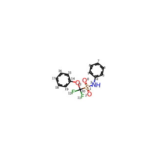 O=S(=O)(Nc1ccccc1)C(F)(F)Oc1ccccc1